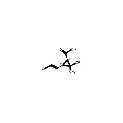 CC1(C)[C@H](C(=O)O)[C@@H]1/C=C/Cl